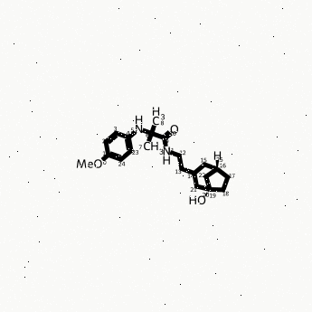 COc1ccc(NC(C)(C)C(=O)NCCC2C[C@@H]3CC[C@@](O)(C2)C3)cc1